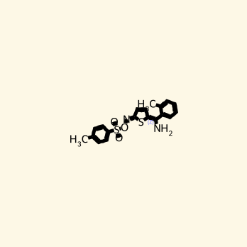 Cc1ccc(S(=O)(=O)ON=C2C=C/C(=C(/N)c3ccccc3C)S2)cc1